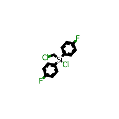 Fc1ccc([Si](Cl)(CCl)c2ccc(F)cc2)cc1